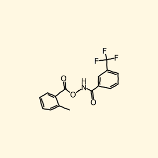 Cc1ccccc1C(=O)ONC(=O)c1cccc(C(F)(F)F)c1